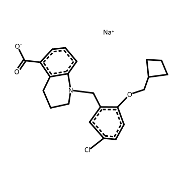 O=C([O-])c1cccc2c1CCCN2Cc1cc(Cl)ccc1OCC1CCC1.[Na+]